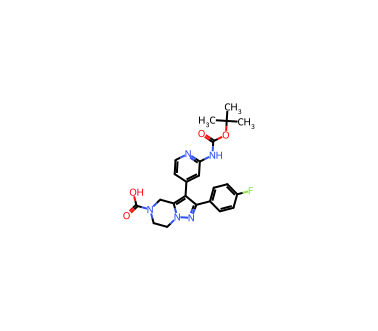 CC(C)(C)OC(=O)Nc1cc(-c2c(-c3ccc(F)cc3)nn3c2CN(C(=O)O)CC3)ccn1